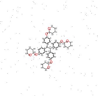 c1cc(C(c2ccc(OC3CCCCO3)cc2)C(c2ccc(OC3CCCCO3)cc2)c2ccc(OC3CCCCO3)cc2)ccc1OC1CCCCO1